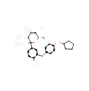 COC1(c2ccc(Cl)c(Cc3ccc(OC4CCCC4)cc3)c2)O[C@H](CO)[C@@H](O)[C@H](O)[C@H]1O